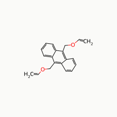 C=COCc1c2ccccc2c(COC=C)c2ccccc12